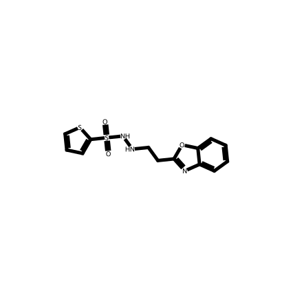 O=S(=O)(NNCCc1nc2ccccc2o1)c1cccs1